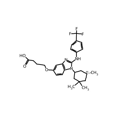 C[C@H]1CC(n2c(Nc3ccc(C(F)(F)F)cc3)nc3cc(OCCCC(=O)O)ccc32)CC(C)(C)C1